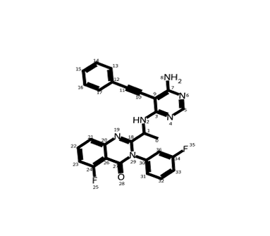 CC(Nc1ncnc(N)c1C#Cc1ccccc1)c1nc2cccc(F)c2c(=O)n1-c1cccc(F)c1